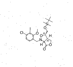 COc1c(CN2O[C@@H](CO[Si](C)(C)C(C)(C)C)[C@H]3COC(=O)[C@H]32)ccc(Cl)c1I